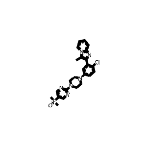 Cc1c(-c2cc(N3CCN(c4ncc(P(C)(C)=O)cn4)CC3)ccc2Cl)nc2ccccn12